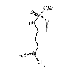 COP(=O)(NCCCN(C)C)OI